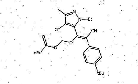 CCCCC(=O)OCO/C(=C(/C#N)c1ccc(C(C)(C)C)cc1)c1c(Cl)c(C)nn1CC